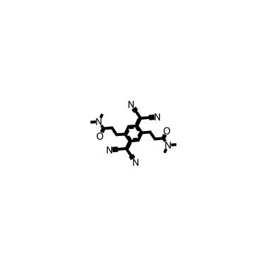 CN(C)C(=O)CCc1cc(=C(C#N)C#N)c(CCC(=O)N(C)C)cc1=C(C#N)C#N